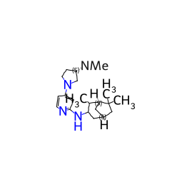 CN[C@H]1CCN(c2ccnc(NC3C[C@H]4C[C@@H](C3C)C(C)(C)C4)c2)C1